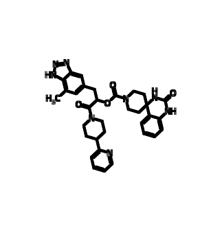 Cc1cc(CC(OC(=O)N2CCC3(CC2)NC(=O)Nc2ccccc23)C(=O)N2CCC(c3ccccn3)CC2)cc2nn[nH]c12